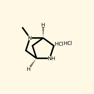 CN1C[C@H]2C[C@@H]1CN2.Cl.Cl